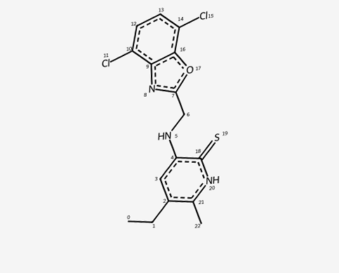 CCc1cc(NCc2nc3c(Cl)ccc(Cl)c3o2)c(=S)[nH]c1C